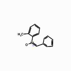 Cc1ccccc1/[N+]([O-])=C\c1ccccc1